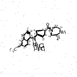 Cl.Cl.O=C(c1ccc(Nc2ccnc3cc(C(F)(F)F)ccc23)cc1)N1CCNCC1